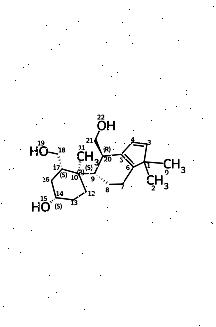 CC1(C)C=CC2=C1CC[C@H]([C@@]1(C)CC[C@H](O)C[C@@H]1CO)[C@H]2CO